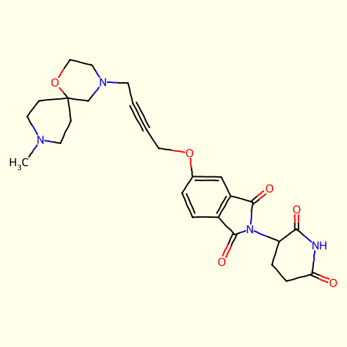 CN1CCC2(CC1)CN(CC#CCOc1ccc3c(c1)C(=O)N(C1CCC(=O)NC1=O)C3=O)CCO2